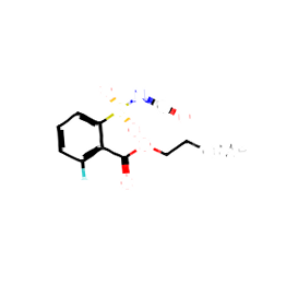 COCCOC(=O)c1c(F)cccc1S(=O)(=O)N=C=O